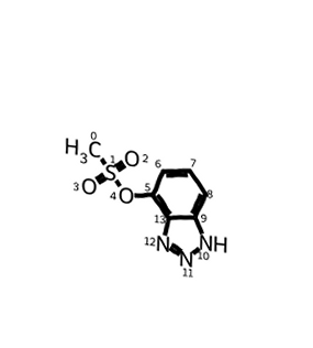 CS(=O)(=O)Oc1cccc2[nH]nnc12